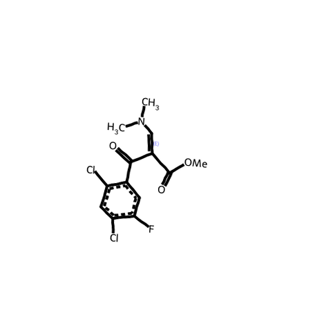 COC(=O)/C(=C/N(C)C)C(=O)c1cc(F)c(Cl)cc1Cl